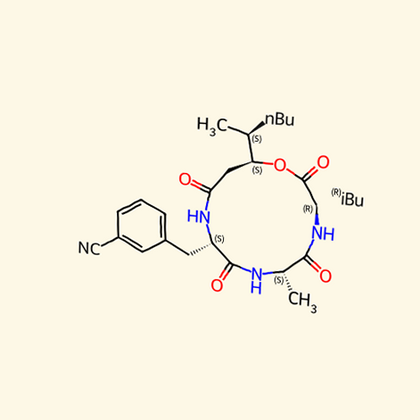 CCCC[C@H](C)[C@@H]1CC(=O)N[C@@H](Cc2cccc(C#N)c2)C(=O)N[C@@H](C)C(=O)N[C@H]([C@H](C)CC)C(=O)O1